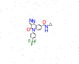 Cn1cc2c(=O)n(-c3ccc(C(F)(F)F)cc3)c3ccc(C(=O)NC4CC4)cc3c2n1